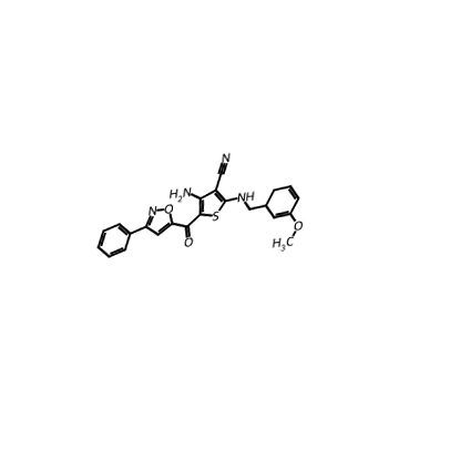 COC1=CC(CNc2sc(C(=O)c3cc(-c4ccccc4)no3)c(N)c2C#N)CC=C1